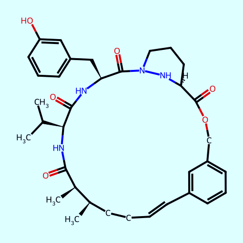 CC(C)[C@@H]1NC(=O)[C@H](C)[C@H](C)CC/C=C/c2cccc(c2)COC(=O)[C@@H]2CCCN(N2)C(=O)[C@H](Cc2cccc(O)c2)NC1=O